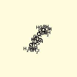 Bc1c(O)c(O)c(B)c(Oc2ccc(N3C(=O)Nc4c(C(=O)N[C@@H]5CCCN(C(B)(B)B)C5)sc5nccc3c45)c(C)c2)c1O